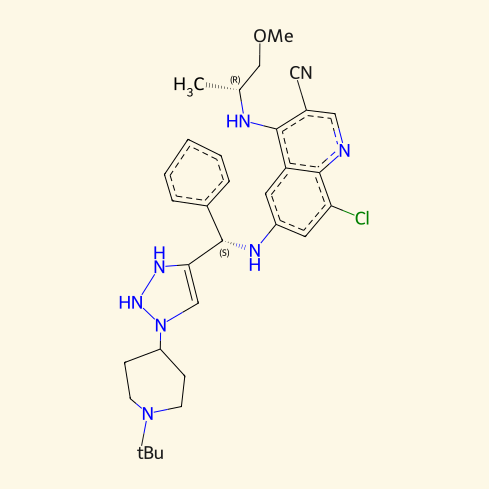 COC[C@@H](C)Nc1c(C#N)cnc2c(Cl)cc(N[C@H](C3=CN(C4CCN(C(C)(C)C)CC4)NN3)c3ccccc3)cc12